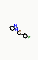 Fc1ccc(-c2ccc(-n3cnc4ccccc43)s2)cc1